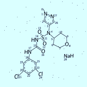 Cn1cc(N(C2CCOCC2)S(=O)(=O)NC(=O)Nc2cc(Cl)cc(Cl)c2)cn1.[NaH]